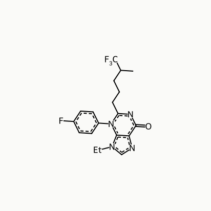 CCn1cnc2c(=O)nc(CCCC(C)C(F)(F)F)n(-c3ccc(F)cc3)c21